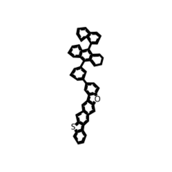 C1=c2c(-c3cccc(-c4ccc5oc6cc7cc8c(cc7cc6c5c4)sc4ccccc48)c3)c3ccccc3c(-c3cccc4ccccc34)c2=CCC1